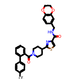 O=C(NCc1ccc2c(c1)OCCO2)c1csc(C2CCN(C(=O)c3ccccc3-c3ccc(C(F)(F)F)cc3)CC2)n1